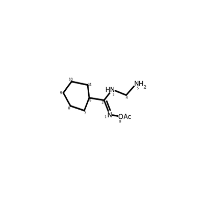 CC(=O)ON=C(NCN)C1CCCCC1